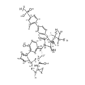 CC(C)(C[C@]1(c2ccc(-c3ccc(S(C)(=O)=O)cc3F)cc2)NC(=N)N([C@H](COC(=O)NC2(C(F)F)CC2)c2ccc(Cl)c(-c3ncnn3C(F)F)c2)C1=O)C(F)(F)F